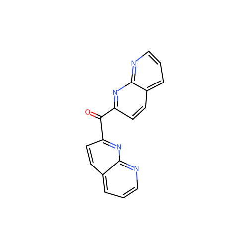 O=C(c1ccc2cccnc2n1)c1ccc2cccnc2n1